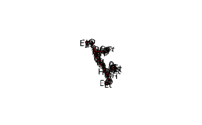 CCC(CC)COC(=O)CCCCCCC(O)CN(CCCC(=O)OCCN1CCN(CCSSCCCCN(CC(O)CCCCC(=O)OCC(CC)CC)CC(O)CCCCC(=O)OCC(CC)CC)CC1)CC(O)CCCCCCC(=O)OCC(CC)CC